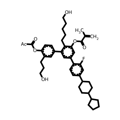 C=C(C)C(=O)Oc1cc(-c2ccc(C3CCC(C4CCCC4)CC3)cc2F)cc(-c2ccc(OC(=O)C(C)=O)c(CCCO)c2)c1CCCCCO